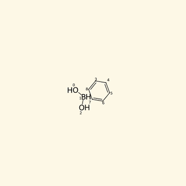 OBO.c1ccccc1